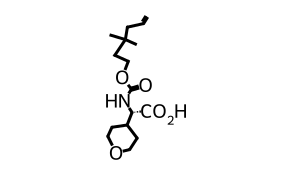 C=CCC(C)(C)CCOC(=O)N[C@H](C(=O)O)C1CCOCC1